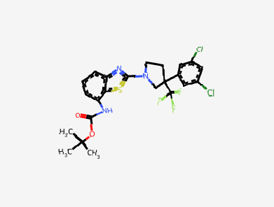 CC(C)(C)OC(=O)Nc1cccc2nc(N3CCC(c4cc(Cl)cc(Cl)c4)(C(F)(F)F)C3)sc12